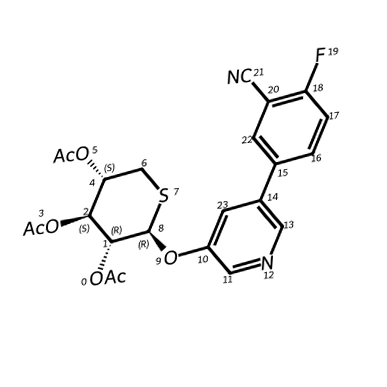 CC(=O)O[C@@H]1[C@@H](OC(C)=O)[C@H](OC(C)=O)CS[C@H]1Oc1cncc(-c2ccc(F)c(C#N)c2)c1